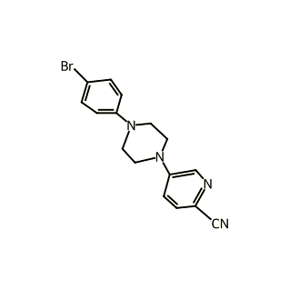 N#Cc1ccc(N2CCN(c3ccc(Br)cc3)CC2)cn1